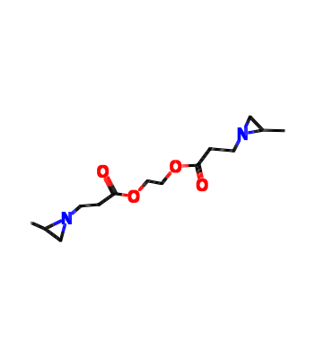 CC1CN1CCC(=O)OCCOC(=O)CCN1CC1C